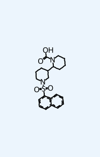 O=C(O)N1CCCCC1C1CCCN(S(=O)(=O)c2cccc3ccccc23)C1